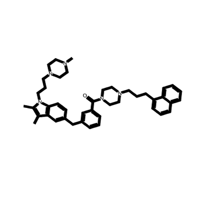 Cc1c(C)n(CCCN2CCN(C)CC2)c2ccc(Cc3cccc(C(=O)N4CCN(CCCc5cccc6ccccc56)CC4)c3)cc12